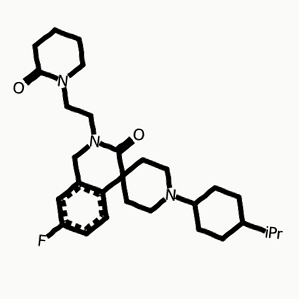 CC(C)C1CCC(N2CCC3(CC2)C(=O)N(CCN2CCCCC2=O)Cc2cc(F)ccc23)CC1